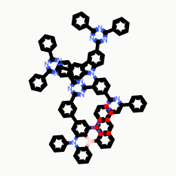 c1ccc(-c2cc(-c3ccccc3)nc(-c3ccc(-n4c5ccc(-c6nc(-c7ccccc7)nc(-c7ccccc7)n6)cc5c5cc(-c6nc(-c7ccccc7)nc(-c7ccccc7)n6)ccc54)c(-c4nc(-c5ccccc5)nc(-c5cccc(-c6cc7c8c(c6)N(c6ccccc6)c6ccccc6B8c6ccccc6N7c6ccccc6)c5)n4)c3)n2)cc1